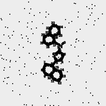 CN(c1ccc(-c2cccc3ccccc23)s1)c1cccc2ccccc12